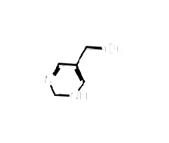 CC(C)(C)CC1=CNCN=C1